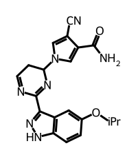 CC(C)Oc1ccc2[nH]nc(C3=NC(n4cc(C#N)c(C(N)=O)c4)CC=N3)c2c1